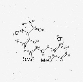 COc1cc(F)c(C2C(=O)CSC2=O)cc1OCc1c(OC)cccc1C(F)(F)F